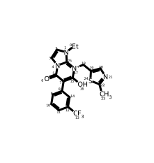 CCn1ccn2c(=O)c(-c3cccc(C(F)(F)F)c3)c(O)[n+](Cc3cnc(C)s3)c12